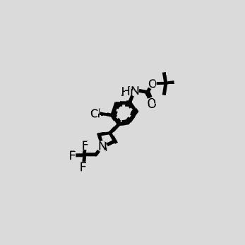 CC(C)(C)OC(=O)Nc1ccc(C2CN(CC(F)(F)F)C2)c(Cl)c1